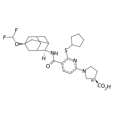 O=C(N[C@H]1C2CC3CC1C[C@@](OC(F)F)(C3)C2)c1ccc(N2CC[C@@H](C(=O)O)C2)nc1SC1CCCC1